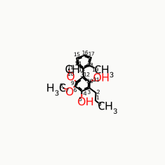 CCCc1c(O)c(OC)c(OC)c(-c2ccccc2C)c1O